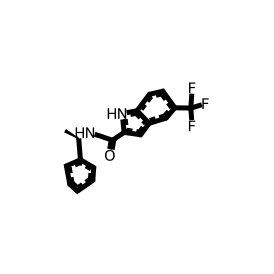 C[C@@H](NC(=O)c1cc2cc(C(F)(F)F)ccc2[nH]1)c1ccccc1